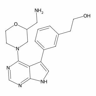 NCC1CN(c2ncnc3[nH]cc(-c4cccc(CCO)c4)c23)CCO1